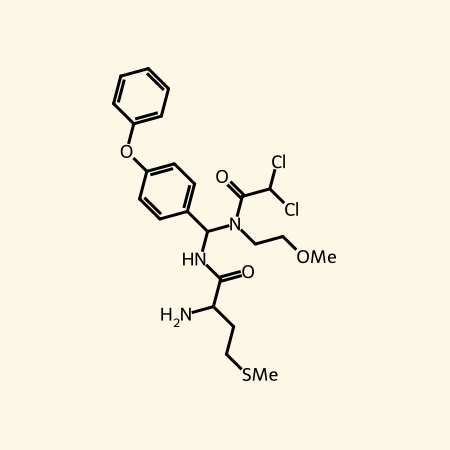 COCCN(C(=O)C(Cl)Cl)C(NC(=O)C(N)CCSC)c1ccc(Oc2ccccc2)cc1